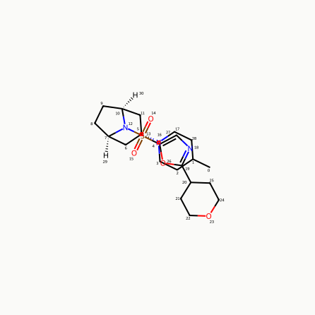 CC1CCN([C@@H]2C[C@H]3CC[C@@H](C2)N3S(=O)(=O)c2cnc(C3CCOCC3)o2)CC1